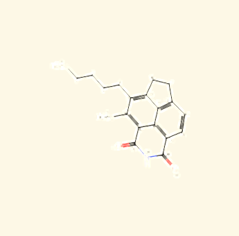 CCCCCCCCCCCCCCc1c(CCCCCCCCCC)c2c3c(ccc4c3c1CC4)C(=O)NC2=O